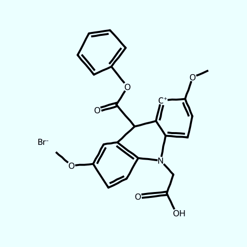 COC1=CC=C2C(=[C+]1)C(C(=O)Oc1ccccc1)c1cc(OC)ccc1N2CC(=O)O.[Br-]